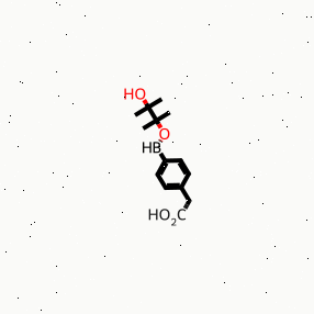 CC(C)(O)C(C)(C)OBc1ccc(CC(=O)O)cc1